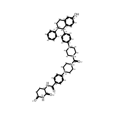 O=C1CCC(NC(=O)c2ccc(N3CCN(C(=O)N4CCN(c5ccc([C@@H]6c7ccc(O)cc7CC[C@@H]6c6ccccc6)cc5)CC4)CC3)cc2)C(=O)N1